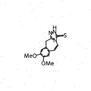 COc1cc2c(cc1OC)Cc1n[nH]c(=S)n1C=C2